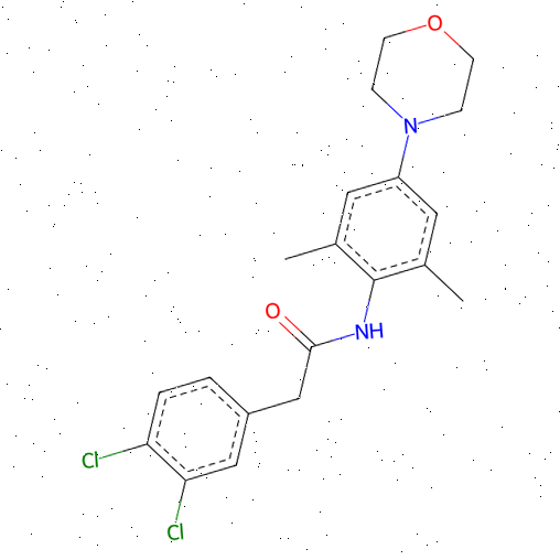 Cc1cc(N2CCOCC2)cc(C)c1NC(=O)Cc1ccc(Cl)c(Cl)c1